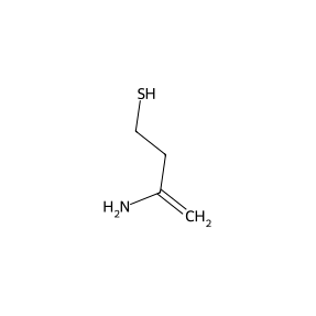 C=C(N)CCS